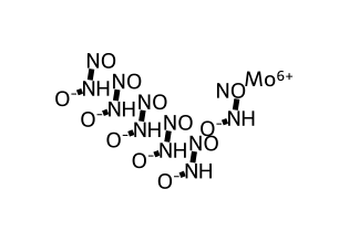 O=NN[O-].O=NN[O-].O=NN[O-].O=NN[O-].O=NN[O-].O=NN[O-].[Mo+6]